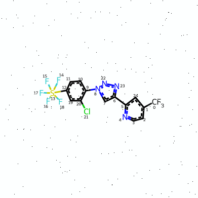 FC(F)(F)c1ccnc(-c2cn(-c3ccc(S(F)(F)(F)(F)F)cc3Cl)nn2)c1